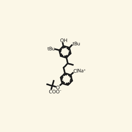 CC(Cc1cc(OC(C)(C)C(=O)[O-])ccc1Cl)c1cc(C(C)(C)C)c(O)c(C(C)(C)C)c1.[Na+]